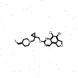 FC=C1CCN(CC2(COc3ncc4c5c(c(Br)c(Cl)c4n3)COC5)CC2)CC1